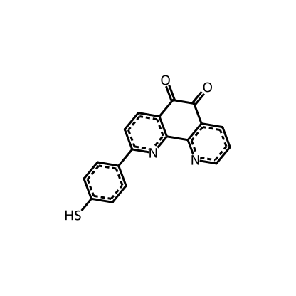 O=C1C(=O)c2ccc(-c3ccc(S)cc3)nc2-c2ncccc21